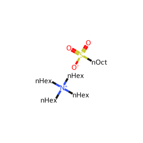 CCCCCCCCS(=O)(=O)[O-].CCCCCC[N+](CCCCCC)(CCCCCC)CCCCCC